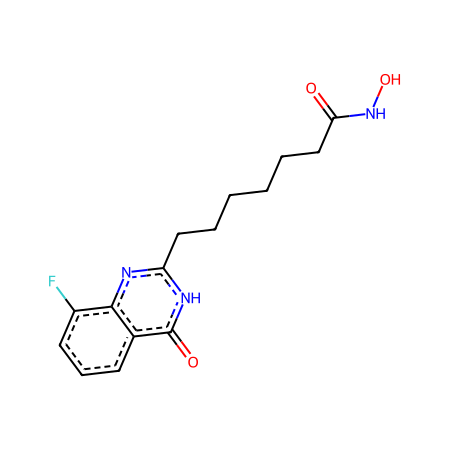 O=C(CCCCCCc1nc2c(F)cccc2c(=O)[nH]1)NO